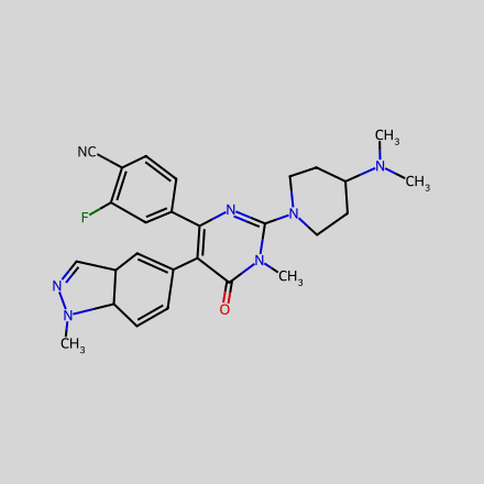 CN(C)C1CCN(c2nc(-c3ccc(C#N)c(F)c3)c(C3=CC4C=NN(C)C4C=C3)c(=O)n2C)CC1